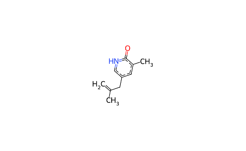 C=C(C)Cc1c[nH]c(=O)c(C)c1